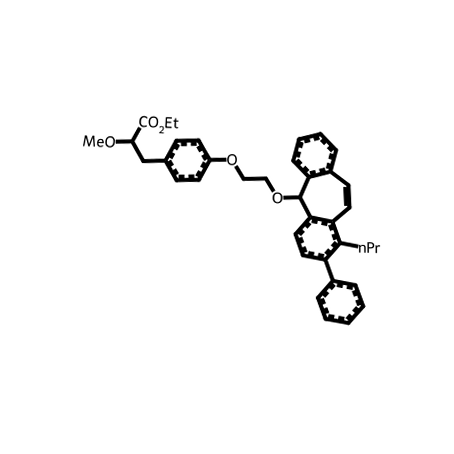 CCCc1c(-c2ccccc2)ccc2c1C=Cc1ccccc1C2OCCOc1ccc(CC(OC)C(=O)OCC)cc1